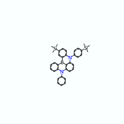 C[Si](C)(C)c1ccc(N2c3ccc([Si](C)(C)C)cc3B3c4ccccc4N(c4ccccc4)c4cccc2c43)cc1